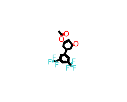 CC(=O)OC1=CC(=O)CC(c2cc(C(F)(F)F)cc(C(F)(F)F)c2)C1